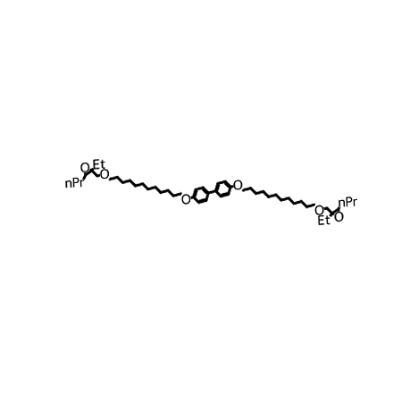 CCCC1OC1(CC)COCCCCCCCCCCCCOc1ccc(-c2ccc(OCCCCCCCCCCCCOCC3(CC)OC3CCC)cc2)cc1